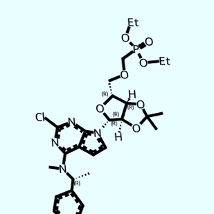 CCOP(=O)(COC[C@H]1O[C@@H](n2ccc3c(N(C)[C@H](C)c4ccccc4)nc(Cl)nc32)[C@@H]2OC(C)(C)O[C@@H]21)OCC